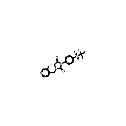 O=C1CN(Cc2ccncc2Br)C(=O)N1c1ccc(S(=O)(=O)C(F)(F)F)cc1